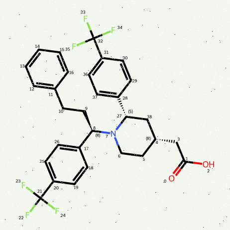 O=C(O)C[C@@H]1CCN([C@H](CCc2ccccc2)c2ccc(C(F)(F)F)cc2)[C@H](c2ccc(C(F)(F)F)cc2)C1